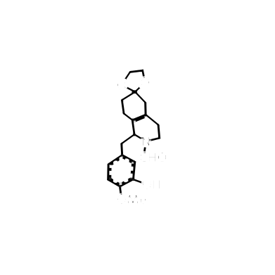 COc1ccc(CC2C3=C(CCN2C=O)CC2(CC3)OCCO2)cc1O